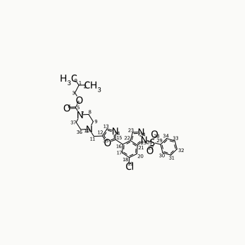 CC(C)COC(=O)N1CCN(Cc2cnc(-c3cc(Cl)cc4c3cnn4S(=O)(=O)c3ccccc3)o2)CC1